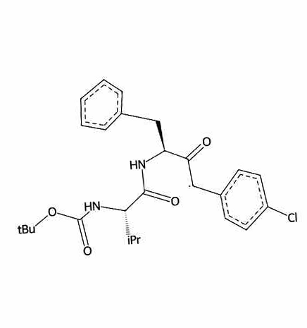 CC(C)[C@H](NC(=O)OC(C)(C)C)C(=O)N[C@@H](Cc1ccccc1)C(=O)[CH]c1ccc(Cl)cc1